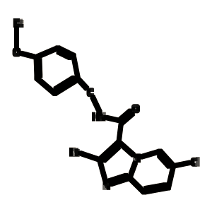 CCOc1ccc(CNC(=O)c2c(CC)nc3ccc(Cl)cn23)cc1